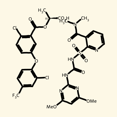 COc1cc(OC)nc(NC(=O)NS(=O)(=O)c2ncccc2C(=O)N(C)C)n1.C[C@H](OC(=O)c1cc(Oc2ccc(C(F)(F)F)cc2Cl)ccc1Cl)C(=O)O